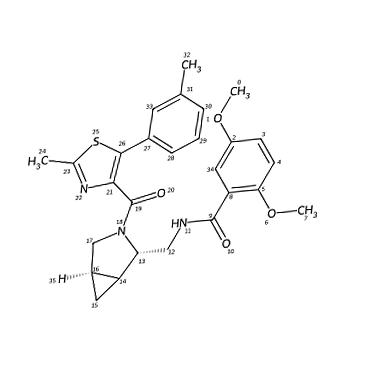 COc1ccc(OC)c(C(=O)NC[C@@H]2C3C[C@H]3CN2C(=O)c2nc(C)sc2-c2cccc(C)c2)c1